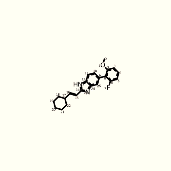 COc1cccc(F)c1-c1ccc2[nH]c(C=CC3CCCCC3)nc2c1